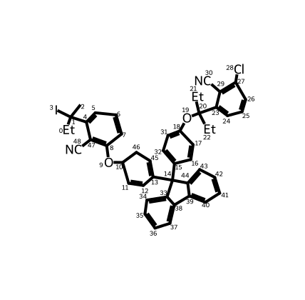 CCC(C)(I)c1cccc(OC2C=CC(C3(c4ccc(OC(CC)(CC)c5cccc(Cl)c5C#N)cc4)c4ccccc4-c4ccccc43)=CC2)c1C#N